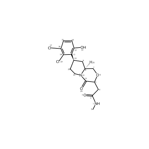 CNC(=O)CC1OC[C@@H]2C[C@H](c3c(O)ccc(Cl)c3Cl)CCN2C1=O